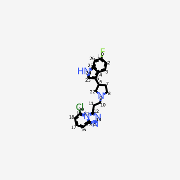 Fc1ccc2c(C3CCN(CCc4nnc5cccc(Cl)n45)C3)c[nH]c2c1